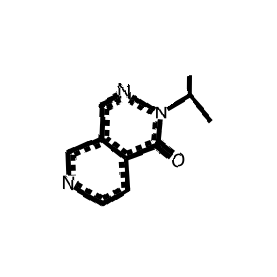 CC(C)n1ncc2cnccc2c1=O